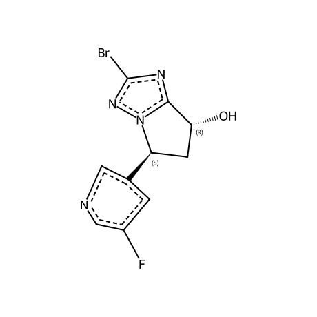 O[C@@H]1C[C@@H](c2cncc(F)c2)n2nc(Br)nc21